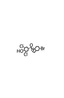 O=C(c1cc(Cl)c(O)c(Cl)c1)n1ccc2cc(Br)ccc21